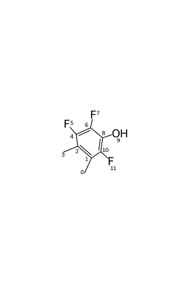 Cc1c(C)c(F)c(F)c(O)c1F